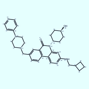 O=c1c2cc(CN3CCN(c4ccncc4)CC3)ccc2c2cnc(NCC3CCC3)nc2n1[C@H]1CC[C@H](O)CC1